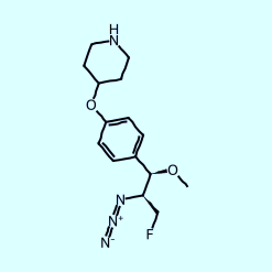 CO[C@H](c1ccc(OC2CCNCC2)cc1)[C@@H](CF)N=[N+]=[N-]